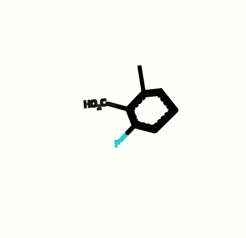 Cc1cccc(F)c1C(=O)O